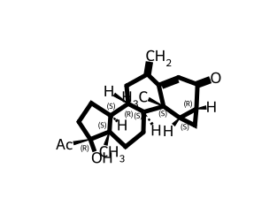 C=C1C[C@@H]2[C@H](CC[C@@]3(C)[C@H]2CC[C@]3(O)C(C)=O)[C@]2(C)C1=CC(=O)[C@@H]1C[C@@H]12